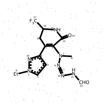 CCn1ccc(C2=C(N(C)/N=N\NC=O)C(=O)NC(C(F)(F)F)C2)n1